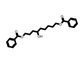 O=C(OCCCCCC(O)CCCOC(=O)c1ccccc1)c1ccccc1